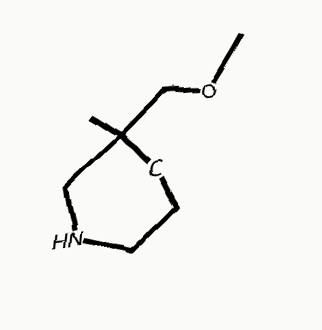 COCC1(C)CCCNC1